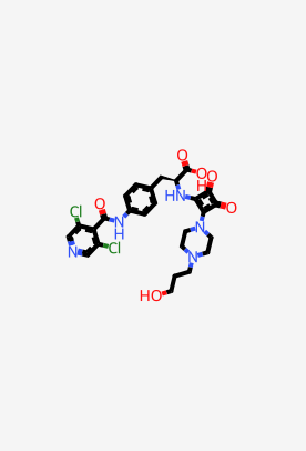 O=C(Nc1ccc(C[C@H](Nc2c(N3CCN(CCCO)CC3)c(=O)c2=O)C(=O)O)cc1)c1c(Cl)cncc1Cl